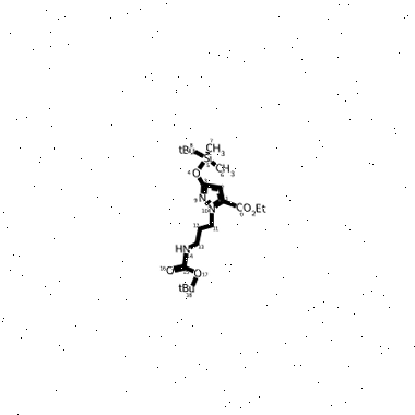 CCOC(=O)c1cc(O[Si](C)(C)C(C)(C)C)nn1CCCNC(=O)OC(C)(C)C